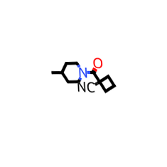 CC1CCN(C(=O)C2(C#N)CCC2)CC1